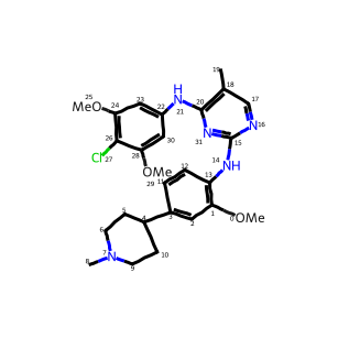 COc1cc(C2CCN(C)CC2)ccc1Nc1ncc(C)c(Nc2cc(OC)c(Cl)c(OC)c2)n1